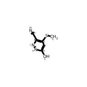 CSc1cc(O)nnc1C#N